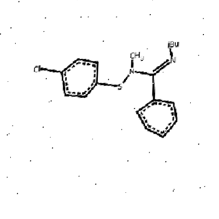 CCC(C)N=C(c1ccccc1)N(C)Sc1ccc(Cl)cc1